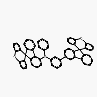 c1ccc(N(c2cccc(-c3ccc4c(c3)-c3ccccc3C43c4ccccc4Oc4ccccc43)c2)c2cccc3c2-c2ccccc2C32c3ccccc3Oc3ccccc32)cc1